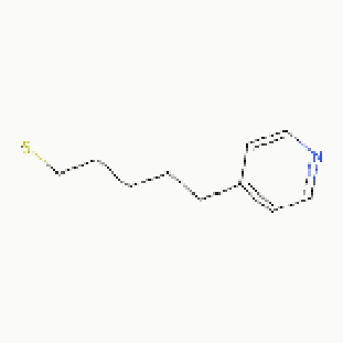 [S]CCCCCc1ccncc1